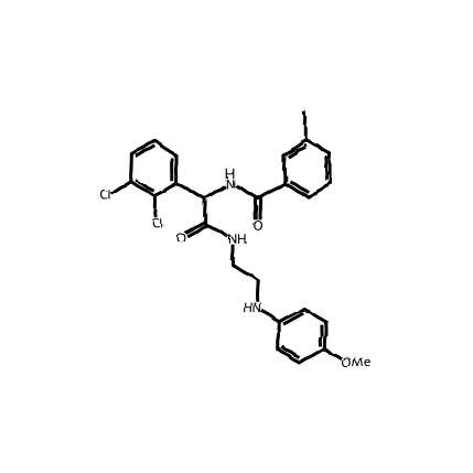 COc1ccc(NCCNC(=O)C(NC(=O)c2cccc(C)c2)c2cccc(Cl)c2Cl)cc1